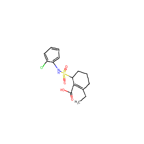 CCC1=C(C(=O)O)C(S(=O)(=O)Nc2ccccc2Cl)CCC1